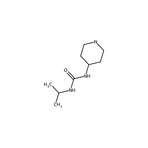 CC(C)NC(=O)NC1CC[N]CC1